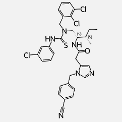 CC[C@H](C)[C@@H](CN(Cc1cccc(Cl)c1Cl)C(=S)Nc1cccc(Cl)c1)NC(=O)Cc1cncn1Cc1ccc(C#N)cc1